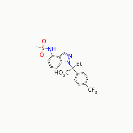 CCC(C(=O)O)(c1ccc(C(F)(F)F)cc1)n1ncc2c(NS(C)(=O)=O)cccc21